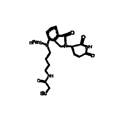 CCCCCN(CCCCNC(=O)CC(C)(C)C)c1cccc2c1CN(C1CCC(=O)NC1=O)C2=O